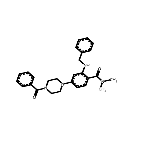 CN(C)C(=O)c1ccc(N2CCN(C(=O)c3ccccc3)CC2)cc1NCc1ccccc1